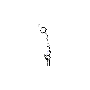 Fc1ccc(CCCOC/C=C/c2c[nH]cn2)cc1